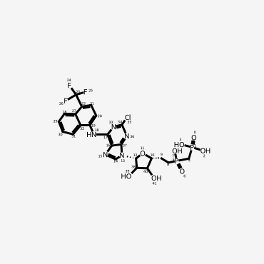 O=P(O)(O)CP(=O)(O)CC[C@H]1O[C@@H](n2cnc3c(Nc4ccc(C(F)(F)F)c5ccccc45)nc(Cl)nc32)C(O)C1O